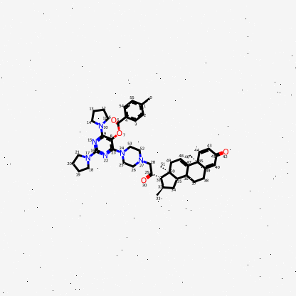 Cc1ccc(C(=O)Oc2c(N3CCCC3)nc(N3CCCC3)nc2N2CCN(CC(=O)[C@H]3[C@H](C)CC4C5CCC6=CC(=O)C=C[C@]6(C)C5=CC[C@@]43C)CC2)cc1